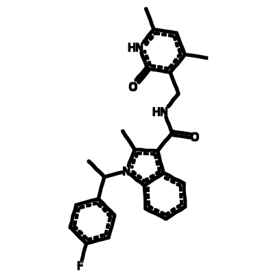 Cc1cc(C)c(CNC(=O)c2c(C)n(C(C)c3ccc(F)cc3)c3ccccc23)c(=O)[nH]1